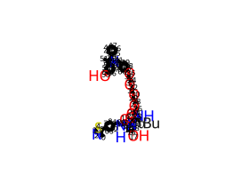 Cc1ncsc1-c1ccc(CNC(=O)[C@@H]2C[C@@H](O)CN2C(=O)[C@@H](NC(=O)COCCOCCOCCOc2ccc(Cn3c(-c4ccccc4)c(C)c4cc(O)ccc43)cc2)C(C)(C)C)cc1